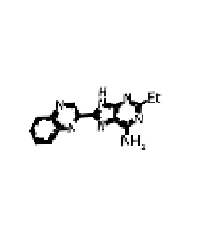 CCc1nc(N)c2nc(-c3cnc4ccccc4n3)[nH]c2n1